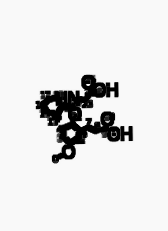 COc1cccc(/C=C/C(=O)O)c1.Cc1ccccc1C(=O)NCC(=O)O